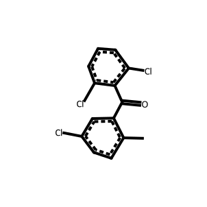 Cc1ccc(Cl)cc1C(=O)c1c(Cl)cccc1Cl